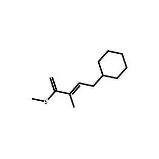 C=C(SC)/C(C)=C/CC1CCCCC1